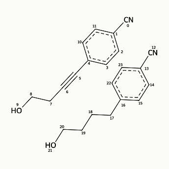 N#Cc1ccc(C#CCCO)cc1.N#Cc1ccc(CCCCO)cc1